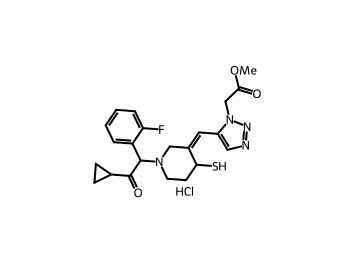 COC(=O)Cn1nncc1/C=C1/CN(C(C(=O)C2CC2)c2ccccc2F)CCC1S.Cl